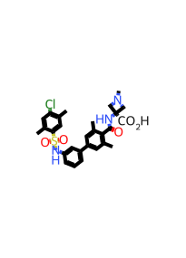 Cc1cc(S(=O)(=O)Nc2cccc(-c3cc(C)c(C(=O)NC4(C(=O)O)CN(C)C4)c(C)c3)c2)c(C)cc1Cl